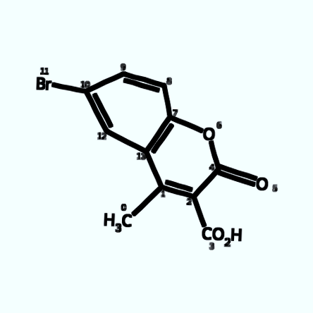 Cc1c(C(=O)O)c(=O)oc2ccc(Br)cc12